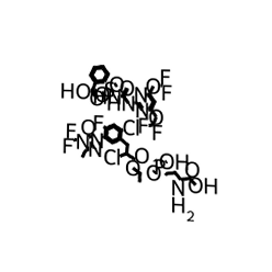 CCOC(=O)C(Cl)Cc1cc(-n2nc(C)n(C(F)F)c2=O)c(F)cc1Cl.CP(=O)(O)CCC(N)C(=O)O.O=C(Nc1nc(OC(F)F)cc(OC(F)F)n1)NS(=O)(=O)c1ccccc1C(=O)O